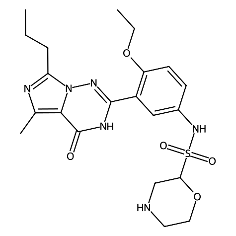 CCCc1nc(C)c2c(=O)[nH]c(-c3cc(NS(=O)(=O)C4CNCCO4)ccc3OCC)nn12